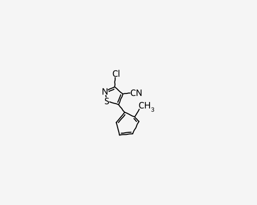 Cc1ccccc1-c1snc(Cl)c1C#N